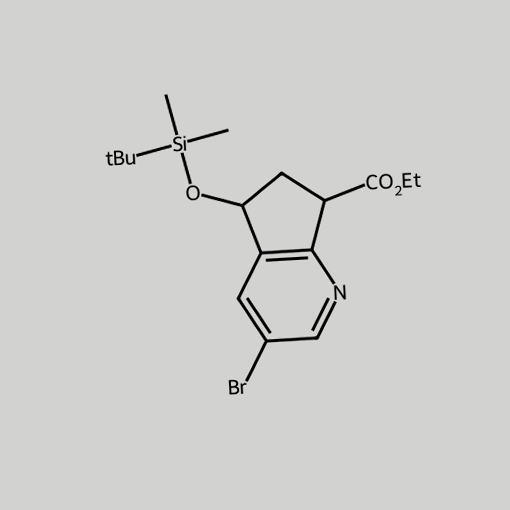 CCOC(=O)C1CC(O[Si](C)(C)C(C)(C)C)c2cc(Br)cnc21